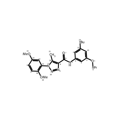 CCCOc1cc(NC(=O)c2nnn(-c3cc(OC)ccc3OC)c2C)cc(C(C)(C)C)c1